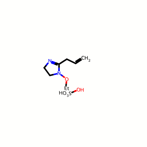 C=CCC1=NCCN1OCC.O=S(=O)(O)O